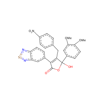 COc1ccc(C2(O)OC(=O)C(c3ccc4nsnc4c3)=C2Cc2ccc([N+](=O)[O-])cc2)cc1OC